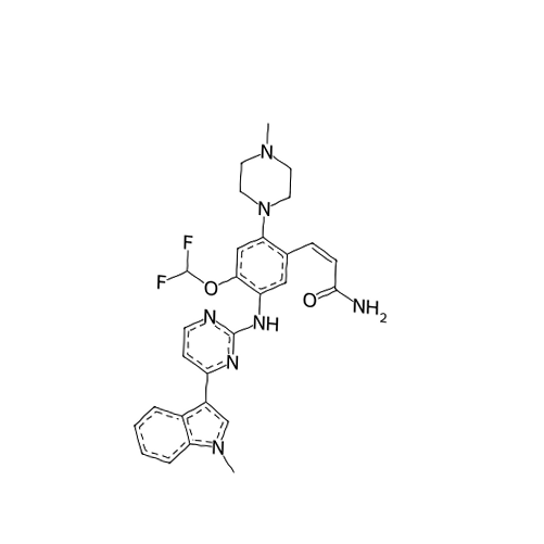 CN1CCN(c2cc(OC(F)F)c(Nc3nccc(-c4cn(C)c5ccccc45)n3)cc2C=CC(N)=O)CC1